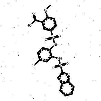 COc1ccc(S(=O)(=O)Nc2ccc(Cl)cc2NS(=O)(=O)c2cc3ccccc3o2)cc1C(=O)O